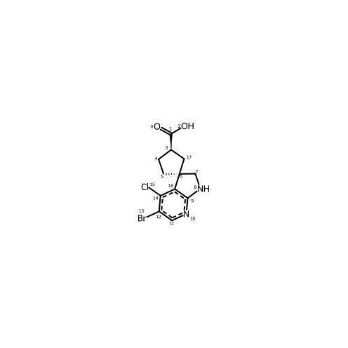 O=C(O)[C@@H]1CC[C@@]2(CNc3ncc(Br)c(Cl)c32)C1